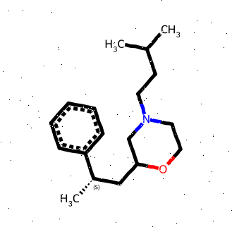 CC(C)CCN1CCOC(C[C@H](C)c2ccccc2)C1